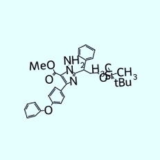 COC(=O)c1c(-c2ccc(Oc3ccccc3)cc2)nc(C(CCO[Si](C)(C)C(C)(C)C)c2ccccc2)n1N